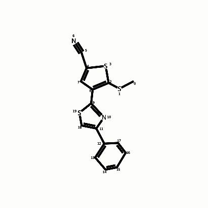 CSc1sc(C#N)cc1-c1nc(-c2ccccc2)cs1